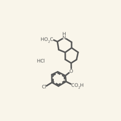 Cl.O=C(O)c1cc(Cl)ccc1OC1CCC2CNC(C(=O)O)CC2C1